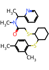 Cc1ccc(SC2CCCCC2SCC(=O)N(C)C(C)c2ccccn2)c(C)c1